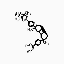 CCOB(OC(C)C)c1ccc(C2(C)C=C3C4CC(C)(c5ccc(B6OC(C)(C)C(C)(C)O6)cc5)C=C5C(C2)C2C5C4C32)cc1